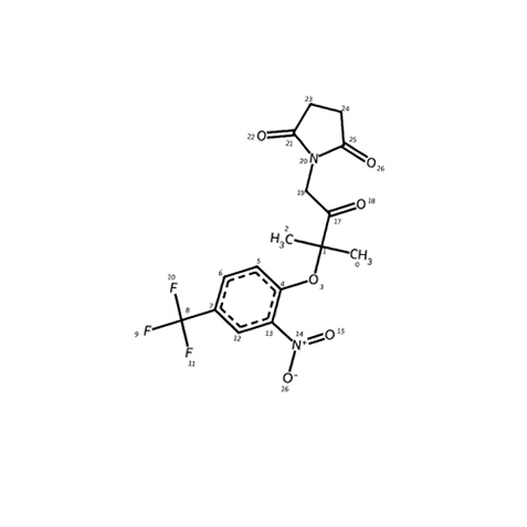 CC(C)(Oc1ccc(C(F)(F)F)cc1[N+](=O)[O-])C(=O)CN1C(=O)CCC1=O